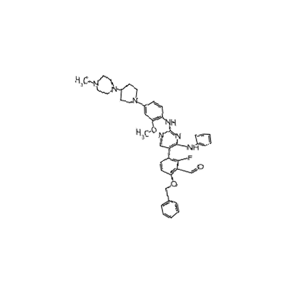 COc1cc(N2CCC(N3CCN(C)CC3)CC2)ccc1Nc1ncc(-c2ccc(OCc3ccccc3)c(C=O)c2F)c(Nc2ccccc2)n1